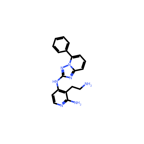 NCCc1c(Nc2nc3cccc(-c4ccccc4)n3n2)ccnc1N